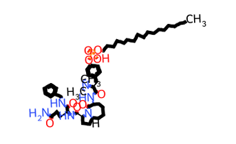 CCCCCCCCCCCCCCCCCCOP(=O)(O)Oc1ccc(C[C@@H](C(=O)N[C@H]2CCCC[C@H]3CC[C@@H](C(=O)N[C@@H](CCC(N)=O)C(=O)NCc4ccccc4)N3C2=O)N(C)C)cc1